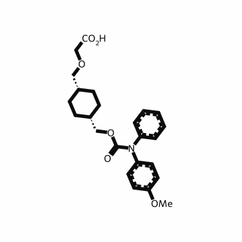 COc1ccc(N(C(=O)OC[C@H]2CC[C@@H](COCC(=O)O)CC2)c2ccccc2)cc1